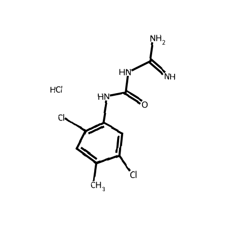 Cc1cc(Cl)c(NC(=O)NC(=N)N)cc1Cl.Cl